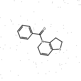 O=C(c1ccccc1)N1CC=CC2=C1C[C]S2